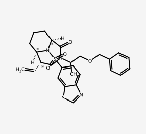 C=C[C@H]1CN(C(C)COCc2ccccc2)C(=O)[C@@H]2CCC[C@H]1N2S(=O)(=O)c1ccc2ncsc2c1